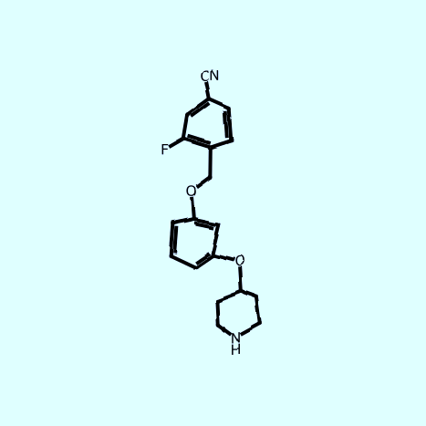 N#Cc1ccc(COc2cccc(OC3CCNCC3)c2)c(F)c1